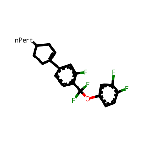 CCCCCC1CC=C(c2ccc(C(F)(F)Oc3ccc(F)c(F)c3)c(F)c2)CC1